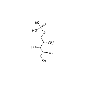 O=P(O)(O)OC[C@H](O)[C@H](O)[C@@H](O)CO